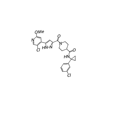 COc1cc(-c2cc(C(=O)N3CCC(C(=O)NC4(c5cccc(Cl)c5)CC4)CC3)n[nH]2)c(Cl)cn1